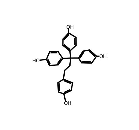 Oc1ccc(CCC(c2ccc(O)cc2)(c2ccc(O)cc2)c2ccc(O)cc2)cc1